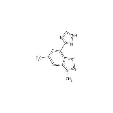 Cn1ncc2c(-c3nc[nH]n3)cc(C(F)(F)F)cc21